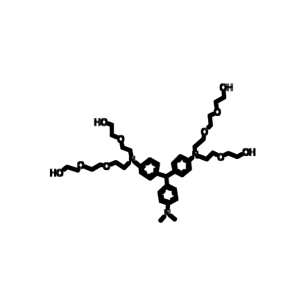 CN(C)c1ccc(C(c2ccc(N(CCOCCO)CCOCCOCCO)cc2)c2ccc(N(CCOCCO)CCOCCOCCO)cc2)cc1